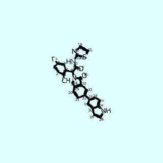 Cc1ccc(F)cc1C(C(=O)Nc1nccs1)N1Cc2ccc(-c3ccc4[nH]ccc4c3)cc2C1=O